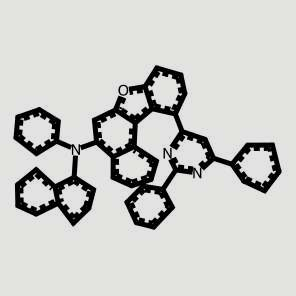 c1ccc(-c2cc(-c3cccc4oc5cc(N(c6ccccc6)c6cccc7ccccc67)c6ccccc6c5c34)nc(-c3ccccc3)n2)cc1